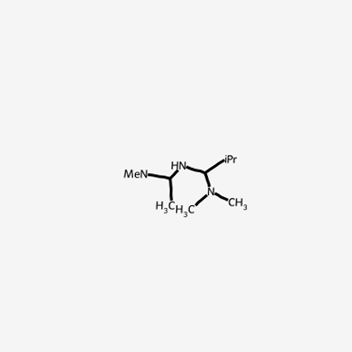 CNC(C)NC(C(C)C)N(C)C